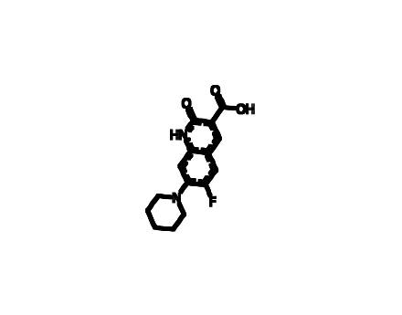 O=C(O)c1cc2cc(F)c(N3CCCCC3)cc2[nH]c1=O